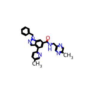 Cc1ccc(-c2cc(C(=O)NCc3cnc(C)cn3)cc3c2cnn3Cc2ccccc2)nc1